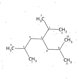 C[C](C)C(CC(C)C)CC(C)C